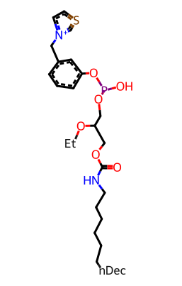 CCCCCCCCCCCCCCCCNC(=O)OCC(COP(O)Oc1cccc(C[n+]2ccsc2)c1)OCC